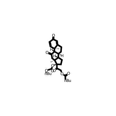 CCCCOC(=O)O[C@]1(C(=O)COC(=O)CCCC)CC[C@H]2[C@@H]3CCC4=CC(=O)C=C[C@]4(C)[C@H]3C(=O)C[C@@]21C